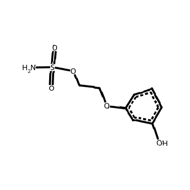 NS(=O)(=O)OCCOc1cccc(O)c1